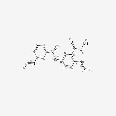 C/N=N/c1cccc(C(=O)Nc2ccc(/N=N/C)c(C(=O)OO)c2)c1